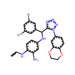 C=CNc1ccc(NC(c2cc(Br)cc(Br)c2)c2nnnn2-c2ccc3c(c2)OCCO3)cc1N